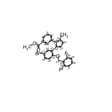 COC(=O)c1cccc(-n2c(C)ccc2-c2cc(Br)ccc2OCc2c(F)cccc2F)n1